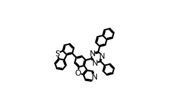 c1ccc(-c2nc(-c3ccc4ccccc4c3)nc(-c3cc(-c4cccc5sc6ccccc6c45)cc4oc5ccncc5c34)n2)cc1